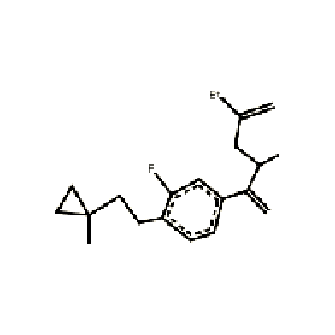 C=C(CC)CC(C)C(=C)c1ccc(CCC2(C)CC2)c(F)c1